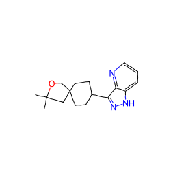 CC1(C)CC2(CCC(c3n[nH]c4cccnc34)CC2)CO1